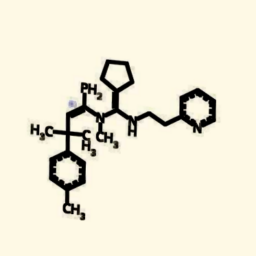 Cc1ccc(C(C)(C)/C=C(/P)N(C)C(NCCc2ccccn2)=C2CCCC2)cc1